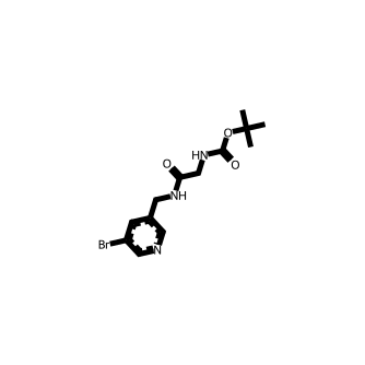 CC(C)(C)OC(=O)NCC(=O)NCc1cncc(Br)c1